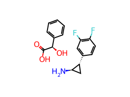 N[C@@H]1C[C@H]1c1ccc(F)c(F)c1.O=C(O)[C@H](O)c1ccccc1